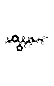 CN(C(=O)N(c1cccc(C(F)(F)F)c1)C1CCCC1)c1ncc(SCC(=O)O)s1